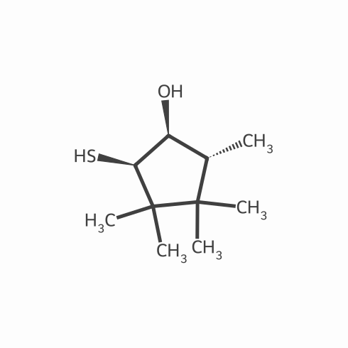 C[C@H]1[C@H](O)[C@H](S)C(C)(C)C1(C)C